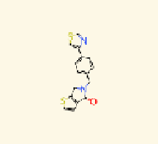 O=C1c2ccsc2CN1Cc1ccc(-c2cscn2)cc1